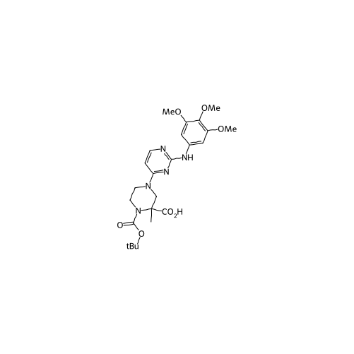 COc1cc(Nc2nccc(N3CCN(C(=O)OC(C)(C)C)C(C)(C(=O)O)C3)n2)cc(OC)c1OC